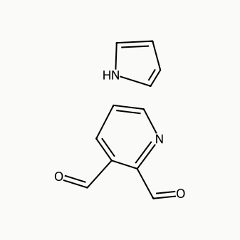 O=Cc1cccnc1C=O.c1cc[nH]c1